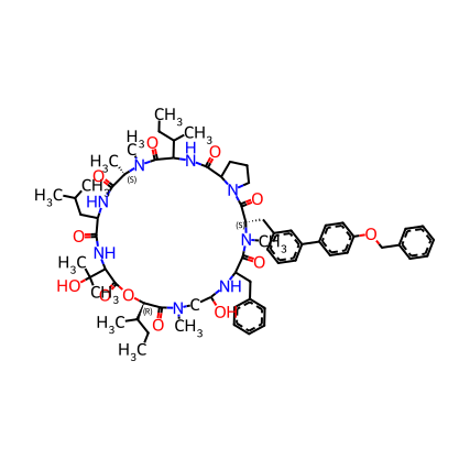 CCC(C)C1NC(=O)C2CCCN2C(=O)[C@H](Cc2cccc(-c3ccc(OCc4ccccc4)cc3)c2)N(C)C(=O)C(Cc2ccccc2)NC(O)CN(C)C(=O)[C@@H](C(C)CC)OC(=O)C(C(C)(C)O)NC(=O)C(CC(C)C)NC(=O)[C@H](C)N(C)C1=O